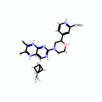 COc1cc(C2CN(c3nc4nc(C)c(C)nc4c([C@]45C[C@@](C(F)(F)F)(C4)C5)n3)CCO2)ccn1